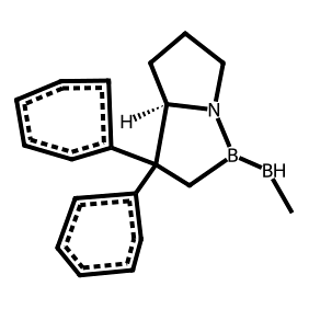 CBB1CC(c2ccccc2)(c2ccccc2)[C@H]2CCCN12